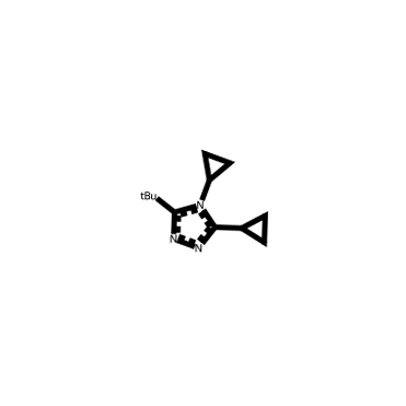 CC(C)(C)c1nnc(C2CC2)n1C1CC1